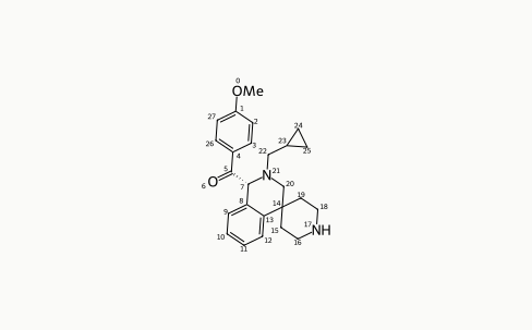 COc1ccc(C(=O)[C@H]2c3ccccc3C3(CCNCC3)CN2CC2CC2)cc1